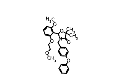 COCCOc1cccc(OC)c1C1OC(C)(C)C(=O)N1Cc1ccc(Oc2ccccc2)cc1